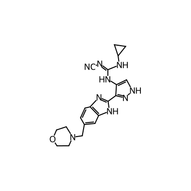 N#C/N=C(\Nc1c[nH]nc1-c1nc2ccc(CN3CCOCC3)cc2[nH]1)NC1CC1